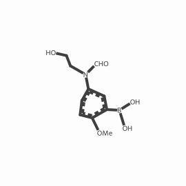 COc1ccc(N(C=O)CCO)cc1B(O)O